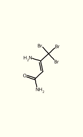 NC(=O)C=C(N)C(Br)(Br)Br